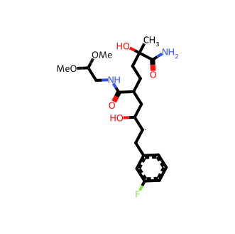 COC(CNC(=O)C(CCC(C)(O)C(N)=O)CC(O)[CH]Cc1cccc(F)c1)OC